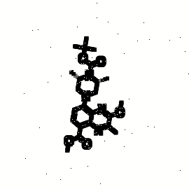 COC(=O)c1ccc(N2C[C@@H](C)N(C(=O)OC(C)(C)C)[C@@H](C)C2)c2nc(OC)c(C)nc12